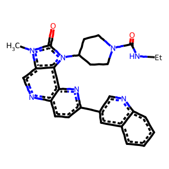 CCNC(=O)N1CCC(n2c(=O)n(C)c3cnc4ccc(-c5cnc6ccccc6c5)nc4c32)CC1